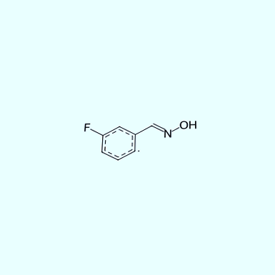 ON=Cc1[c]ccc(F)c1